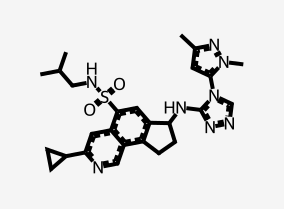 Cc1cc(-n2cnnc2NC2CCc3c2cc(S(=O)(=O)NCC(C)C)c2cc(C4CC4)ncc32)n(C)n1